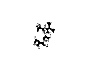 COCC(c1cc(F)c[nH]c1=O)n1cc(NC(=O)C(NC(=O)c2nonc2C)C(C2CC2)C2CC2)c(F)n1